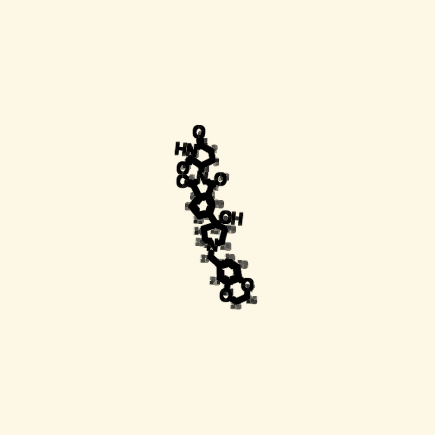 O=C1CCC(N2C(=O)c3ccc(C4(O)CCN(Cc5ccc6c(c5)OCCO6)CC4)cc3C2=O)C(=O)N1